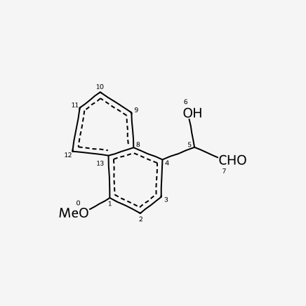 COc1ccc(C(O)C=O)c2ccccc12